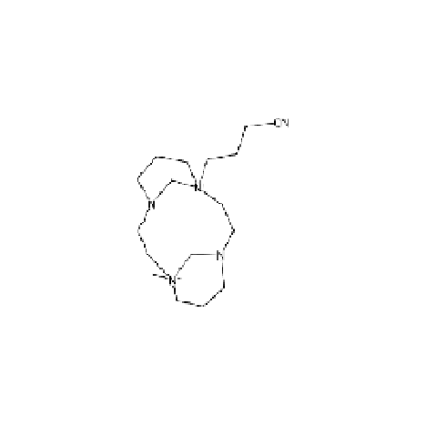 C[N+]12CCCN(CC[N+]3(CCCC#N)CCCN(CC1)C3)C2